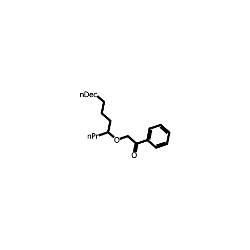 CCCCCCCCCCCCCC(CCC)OCC(=O)c1ccccc1